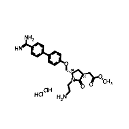 COC(=O)C[C@@H]1C[C@@H](COc2ccc(-c3ccc(C(=N)N)cc3)cc2)N(CCN)C1=O.Cl.Cl